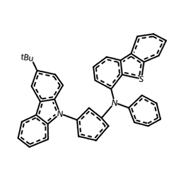 CC(C)(C)c1ccc2c(c1)c1ccccc1n2-c1cccc(N(c2ccccc2)c2cccc3c2sc2ccccc23)c1